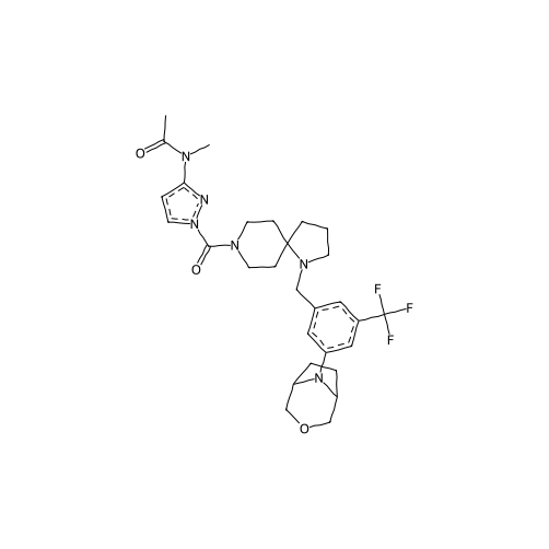 CC(=O)N(C)c1ccn(C(=O)N2CCC3(CCCN3Cc3cc(N4C5CCC4COC5)cc(C(F)(F)F)c3)CC2)n1